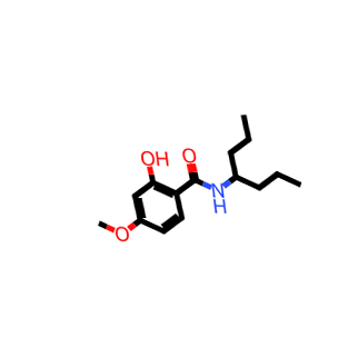 CCCC(CCC)NC(=O)c1ccc(OC)cc1O